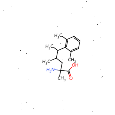 Cc1cccc(C)c1C(C)C(C)CC(C)(N)C(=O)O